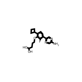 Nc1cnc(-c2ccc(C3CCC3)c(OCCCC(O)O)c2F)cn1